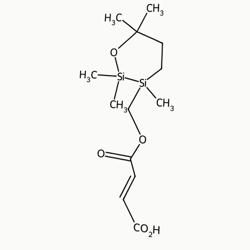 CC1(C)CC[Si](C)(COC(=O)C=CC(=O)O)[Si](C)(C)O1